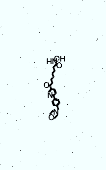 O=C(CCCCCCC(=O)c1ccc(-c2ccc(CN3CCOCC3)cc2)nc1)NO